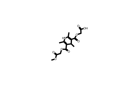 COC(=O)COC(=O)C1=C(C)NC(C)=C(C(=O)OCC(=O)O)C1C